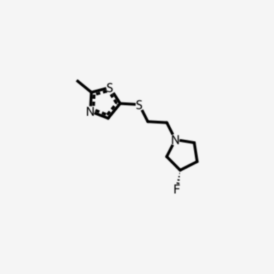 Cc1ncc(SCCN2CC[C@H](F)C2)s1